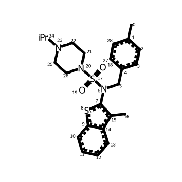 Cc1ccc(CN(c2sc3ccccc3c2C)S(=O)(=O)N2CCN(C(C)C)CC2)cc1